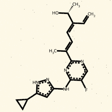 C=C/C(=C\C=C(/C)c1ncc(F)c(Nc2cc(C3CC3)[nH]n2)n1)[C@@H](C)O